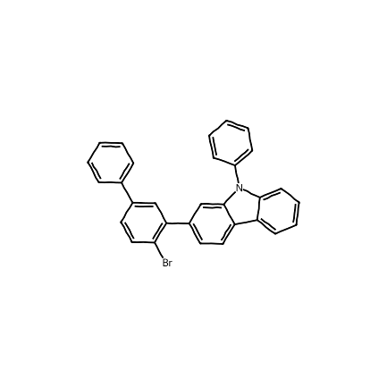 Brc1ccc(-c2ccccc2)cc1-c1ccc2c3ccccc3n(-c3ccccc3)c2c1